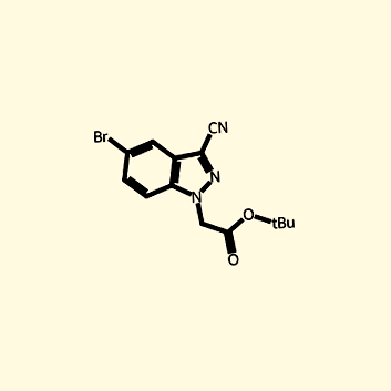 CC(C)(C)OC(=O)Cn1nc(C#N)c2cc(Br)ccc21